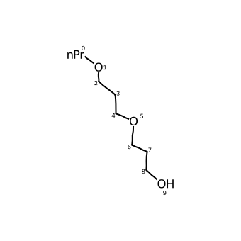 CCCOCCCOCCCO